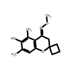 CON=C1CC2(CCC2)Oc2cc(C)c(O)c(C)c21